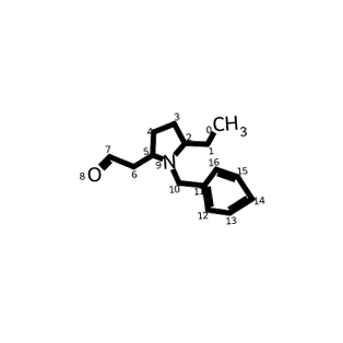 CCC1CCC(CC=O)N1Cc1ccccc1